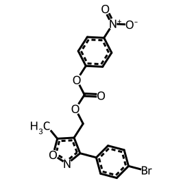 Cc1onc(-c2ccc(Br)cc2)c1COC(=O)Oc1ccc([N+](=O)[O-])cc1